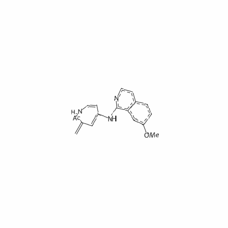 C=C(/C=C(\C=C/N)Nc1nccc2ccc(OC)cc12)C(C)=O